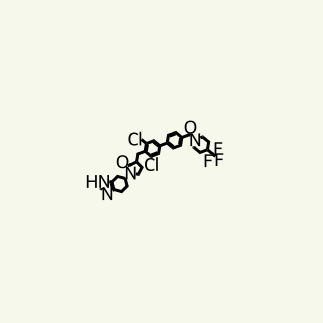 O=C(c1ccc(-c2cc(Cl)c(CC3CCN(C4CCc5nc[nH]c5C4)C3=O)c(Cl)c2)cc1)N1CCC(C(F)(F)F)CC1